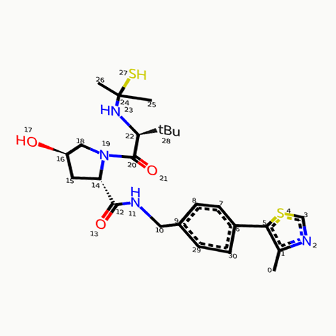 Cc1ncsc1-c1ccc(CNC(=O)[C@@H]2C[C@@H](O)CN2C(=O)[C@@H](NC(C)(C)S)C(C)(C)C)cc1